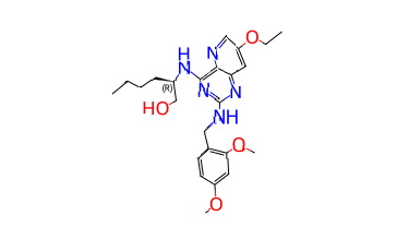 CCCC[C@H](CO)Nc1nc(NCc2ccc(OC)cc2OC)nc2cc(OCC)cnc12